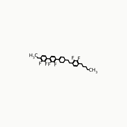 CCCCCc1ccc(CCC2CC=C(c3ccc(-c4ccc(CC)c(F)c4F)c(F)c3F)CC2)c(F)c1F